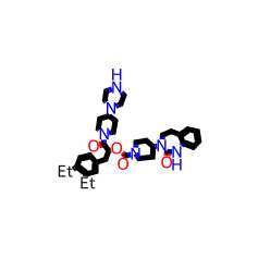 CCc1ccc(CC(OC(=O)N2CCC(N3CCc4ccccc4NC3=O)CC2)C(=O)N2CCC(N3CCNCC3)CC2)cc1CC